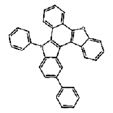 c1ccc(-c2ccc3c(c2)c2c4c5ccccc5oc4c4ccccc4c2n3-c2ccccc2)cc1